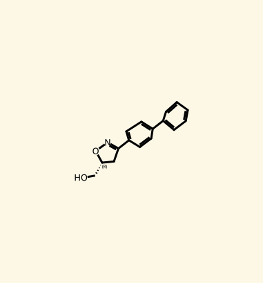 OC[C@H]1CC(c2ccc(-c3ccccc3)cc2)=NO1